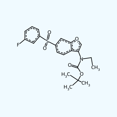 CCN(C(=O)OC(C)(C)C)c1coc2cc(S(=O)(=O)c3cccc(F)c3)ccc12